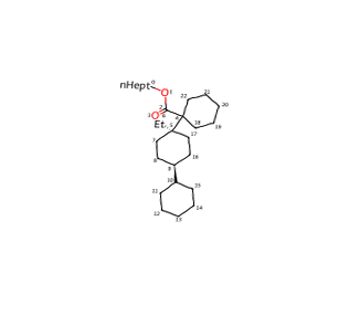 CCCCCCCOC(=O)C1([C@]2(CC)CC[C@H](C3CCCCC3)CC2)CCCCC1